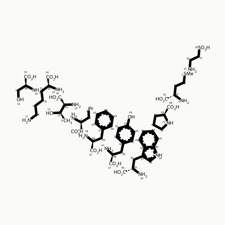 CC(C)C[C@H](N)C(=O)O.CSCC[C@H](N)C(=O)O.C[C@@H](O)[C@H](N)C(=O)O.NCCCC[C@H](N)C(=O)O.NCCS(=O)(=O)O.N[C@@H](CO)C(=O)O.N[C@@H](Cc1c[nH]c2ccccc12)C(=O)O.N[C@@H](Cc1ccc(O)cc1)C(=O)O.N[C@@H](Cc1ccccc1)C(=O)O.O=C(O)[C@@H]1CCCN1